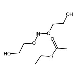 CCOC(C)=O.OCCONOCCO